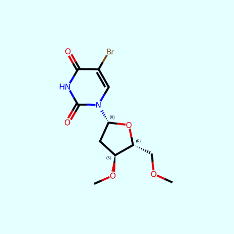 COC[C@H]1O[C@@H](n2cc(Br)c(=O)[nH]c2=O)C[C@@H]1OC